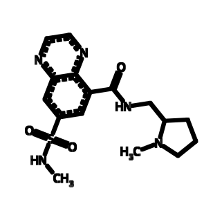 CNS(=O)(=O)c1cc(C(=O)NCC2CCCN2C)c2nccnc2c1